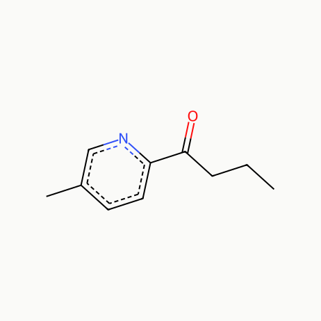 CCCC(=O)c1ccc(C)cn1